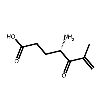 C=C(C)C(=O)[C@@H](N)CCC(=O)O